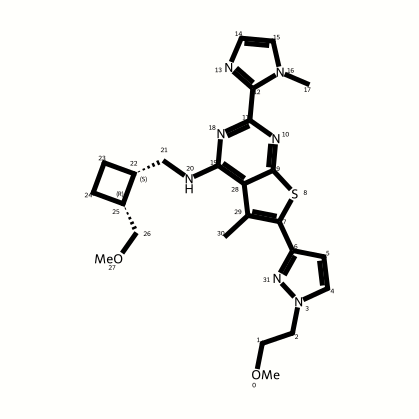 COCCn1ccc(-c2sc3nc(-c4nccn4C)nc(NC[C@H]4CC[C@H]4COC)c3c2C)n1